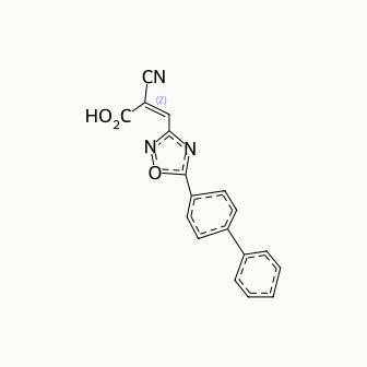 N#C/C(=C/c1noc(-c2ccc(-c3ccccc3)cc2)n1)C(=O)O